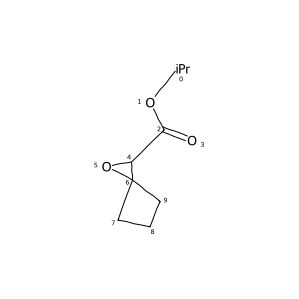 CC(C)OC(=O)C1OC12CCC2